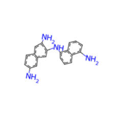 Nc1ccc2cc(N)c(Nc3cccc4c(N)cccc34)cc2c1